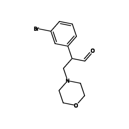 O=CC(CN1CCOCC1)c1cccc(Br)c1